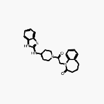 O=C(CN1C(=O)CC[C]c2ccccc21)N1CCC(Nc2nc3ccccc3[nH]2)CC1